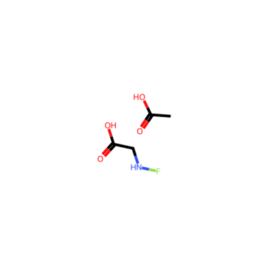 CC(=O)O.O=C(O)CNF